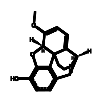 COC1=CC=C2[C@H]3Cc4ccc(O)c5c4C2(CCN3)[C@H]1O5